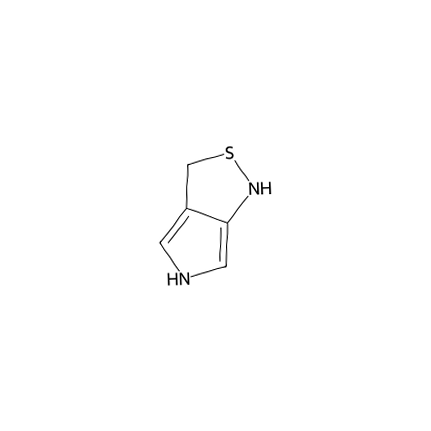 c1[nH]cc2c1CSN2